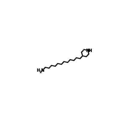 NCCCCCCCCCCCCC1CCNCC1